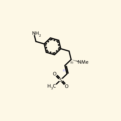 CN[C@H](/C=C/S(C)(=O)=O)Cc1ccc(CN)cc1